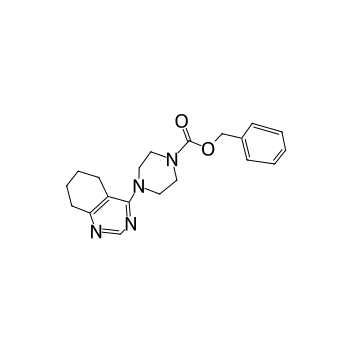 O=C(OCc1ccccc1)N1CCN(c2ncnc3c2CCCC3)CC1